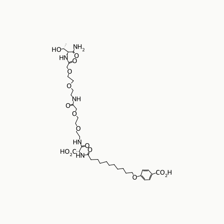 C[C@@H](O)[C@H](NC(=O)COCCOCCNC(=O)COCCOCCNC(=O)[C@H](NC(=O)CCCCCCCCCCOc1ccc(C(=O)O)cc1)C(=O)O)C(N)=O